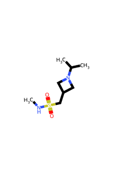 CNS(=O)(=O)CC1CN(C(C)C)C1